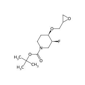 CC(C)(C)OC(=O)N1CC[C@@H](OCC2CO2)[C@@H](F)C1